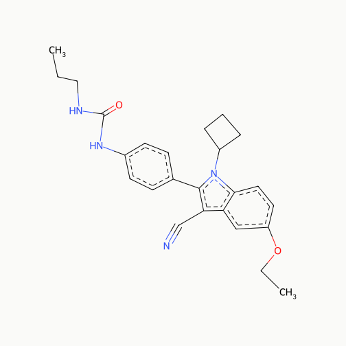 CCCNC(=O)Nc1ccc(-c2c(C#N)c3cc(OCC)ccc3n2C2CCC2)cc1